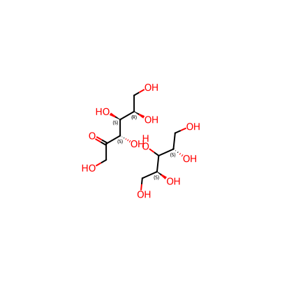 O=C(CO)[C@@H](O)[C@@H](O)[C@H](O)CO.OC[C@H](O)C(O)[C@@H](O)CO